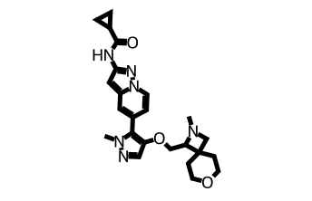 CN1CC2(CCOCC2)C1COc1cnn(C)c1-c1ccn2nc(NC(=O)C3CC3)cc2c1